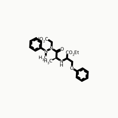 CCOC(=O)C(COc1ccccc1)N[C@@H](C)C(=O)N(CC(=O)O)N(C)c1ccccc1